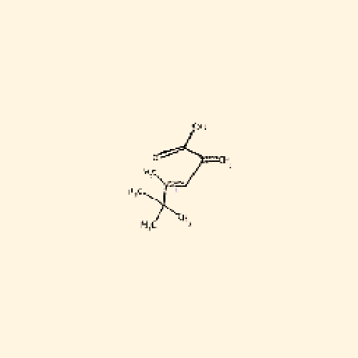 C=C(/C=C(\C)C(C)(C)C)C(=O)O